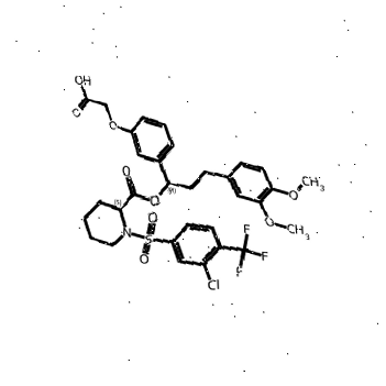 COc1ccc(CC[C@@H](OC(=O)[C@@H]2CCCCN2S(=O)(=O)c2ccc(C(F)(F)F)c(Cl)c2)c2cccc(OCC(=O)O)c2)cc1OC